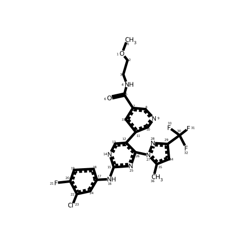 COCCNC(=O)c1cncc(-c2cnc(Nc3ccc(F)c(Cl)c3)nc2-n2nc(C(F)(F)F)cc2C)c1